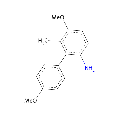 COc1ccc(-c2c(N)ccc(OC)c2C)cc1